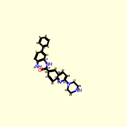 Nc1ccc(-c2ccccc2)cc1NC(=O)c1ccc2nc(N3CCNCC3)ccc2c1